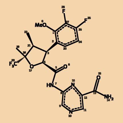 COc1c([C@H]2[C@@H](C(=O)Nc3cncc(C(N)=O)n3)O[C@](C)(C(F)(F)F)[C@H]2C)ccc(F)c1F